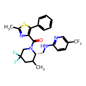 Cc1nc(C(=O)N2CC(F)(F)CC(C)[C@H]2CNc2ccc(C(F)(F)F)cn2)c(-c2ccccc2)s1